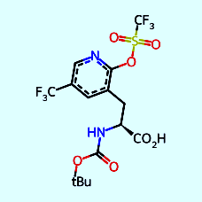 CC(C)(C)OC(=O)N[C@@H](Cc1cc(C(F)(F)F)cnc1OS(=O)(=O)C(F)(F)F)C(=O)O